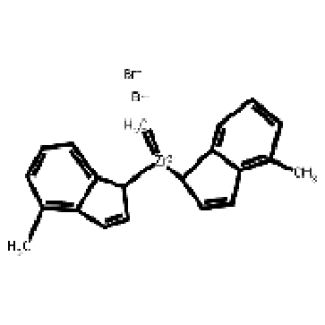 [Br-].[Br-].[CH2]=[Zr+2]([CH]1C=Cc2c(C)cccc21)[CH]1C=Cc2c(C)cccc21